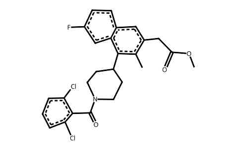 COC(=O)Cc1cc2ccc(F)cc2c(C2CCN(C(=O)c3c(Cl)cccc3Cl)CC2)c1C